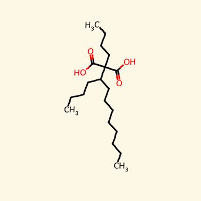 CCCCCCCCC(CCCC)C(CCCC)(C(=O)O)C(=O)O